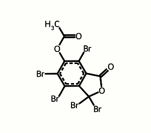 CC(=O)Oc1c(Br)c(Br)c2c(c1Br)C(=O)OC2(Br)Br